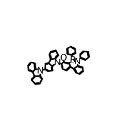 c1ccc(N2B3c4ccccc4Oc4c(-n5c6ccccc6c6cc(-n7c8ccccc8c8ccccc87)ccc65)ccc(c43)-c3ccccc32)cc1